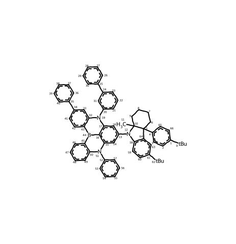 CC(C)(C)c1ccc(C23CCCCC2(C)N(c2cc4c5c(c2)N(c2cccc(-c6ccccc6)c2)c2cc(-c6ccccc6)ccc2B5c2ccccc2N4c2ccccc2)c2ccc(C(C)(C)C)cc23)cc1